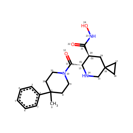 CC1(c2ccccc2)CCN(C(=O)[C@H]2NCC3(CC3)C[C@@H]2C(=O)NO)CC1